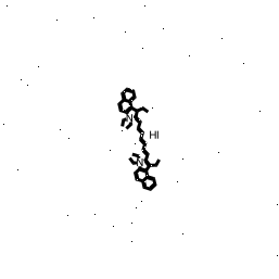 CCC1=C(C=CC=CC=CC=C2C(CC)c3c(ccc4ccccc34)[N+]2(CC)CC)[N+](CC)(CC)c2ccc3ccccc3c21.I